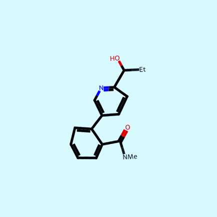 CCC(O)c1ccc(-c2ccccc2C(=O)NC)cn1